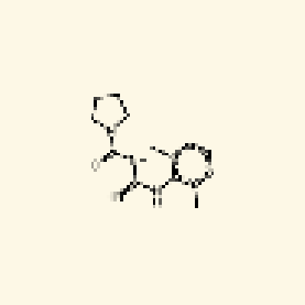 Cc1cccc(C)c1NC(=N)NC(=O)N1CCCC1